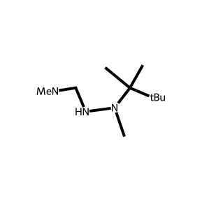 CNCNN(C)C(C)(C)C(C)(C)C